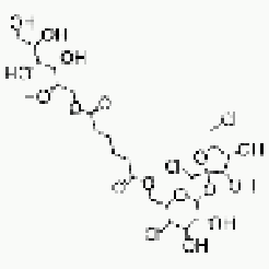 O=C(CCCCC(=O)OC[C@H]1O[C@H](O[C@]2(CCl)O[C@@H](CCl)C(O)C2O)[C@H](O)[C@@H](O)[C@H]1Cl)OC[C@@H](O)[C@@H](O)[C@H](O)C(O)CO